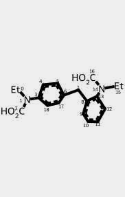 CCN(C(=O)O)c1ccc(Cc2ccccc2N(CC)C(=O)O)cc1